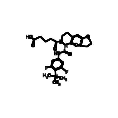 C[Si](C)(C)c1c(F)cc(NC(=O)[C@H]2c3cc4c(cc3CCN2C(=O)CCCC(=O)O)OCC4)cc1F